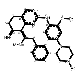 CCOc1cc(N2CCN(C(C)=O)CC2)ccc1Nc1ncc2c(n1)/C(=C(\Cc1ccccc1)NC)C(=N)CC2